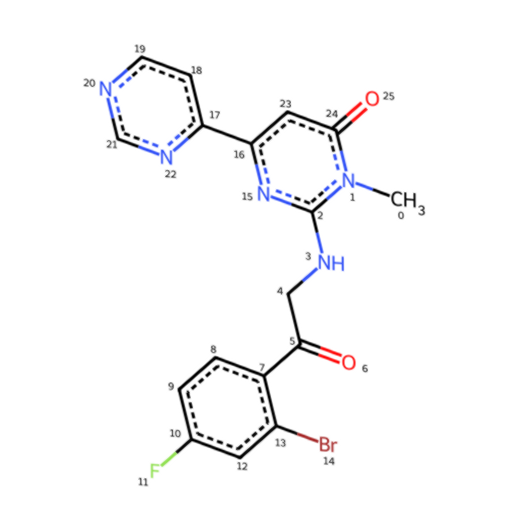 Cn1c(NCC(=O)c2ccc(F)cc2Br)nc(-c2ccncn2)cc1=O